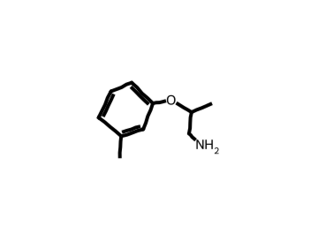 Cc1cccc(OC(C)CN)c1